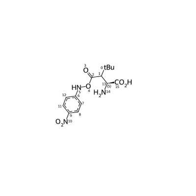 CC(C)(C)C(C(=O)ONc1ccc([N+](=O)[O-])cc1)[C@H](N)C(=O)O